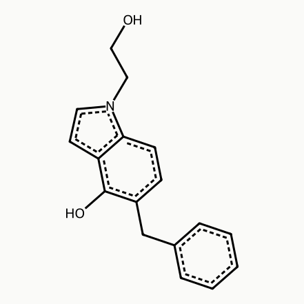 OCCn1ccc2c(O)c(Cc3ccccc3)ccc21